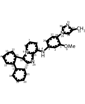 COc1cc(Nc2cccn3c(-c4ccccc4-c4ccccc4)cnc23)ccc1-n1cnc(C)c1